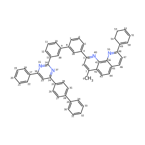 Cc1cc(-c2cccc(-c3cccc(-c4nc(-c5ccccc5)cc(-c5ccc(-c6ccccc6)cc5)n4)c3)c2)nc2c1ccc1ccc(C3=CC=CCC3)nc12